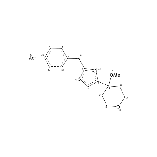 COC1(c2csc(Sc3ccc(C(C)=O)cc3)n2)CCOCC1